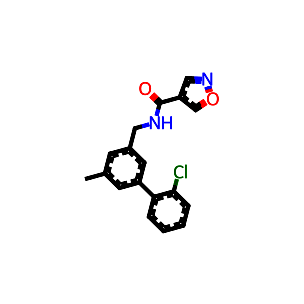 Cc1cc(CNC(=O)c2cnoc2)cc(-c2ccccc2Cl)c1